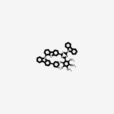 Bc1c(B)c(B)c(-c2nc(-c3ccc4c(c3)oc3c(-n5c6ccccc6c6ccc(-c7ccccc7)cc65)cccc34)nc(-n3c4ccccc4c4ccccc43)n2)c(B)c1B